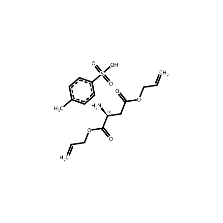 C=CCOC(=O)C[C@H](N)C(=O)OCC=C.Cc1ccc(S(=O)(=O)O)cc1